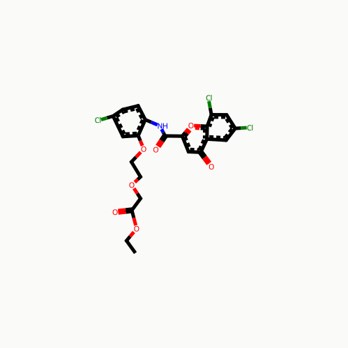 CCOC(=O)COCCOc1cc(Cl)ccc1NC(=O)c1cc(=O)c2cc(Cl)cc(Cl)c2o1